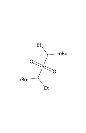 CCCCC(CC)S(=O)(=O)C(CC)CCCC